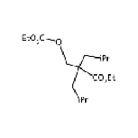 CCOC(=O)OCC(CC(C)C)(CC(C)C)C(=O)OCC